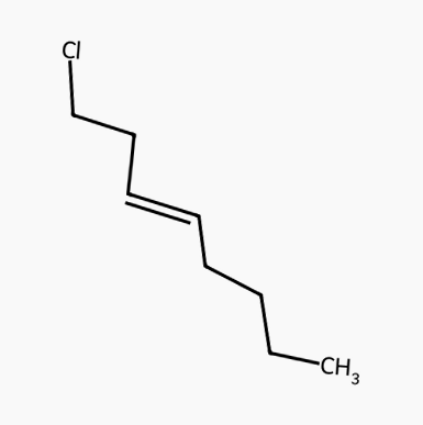 CCCCC=CCCCl